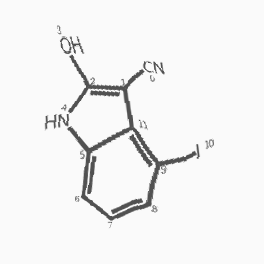 N#Cc1c(O)[nH]c2cccc(I)c12